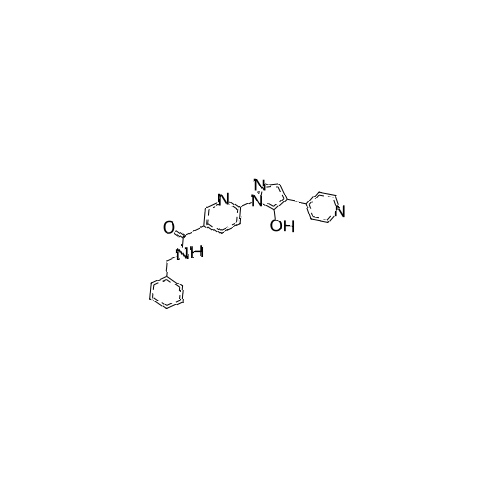 O=C(NCc1ccccc1)c1ccc(-n2ncc(-c3ccncc3)c2O)nc1